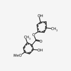 COc1cc(C)c(C(=O)Oc2cc(C)cc(O)c2)c(O)c1